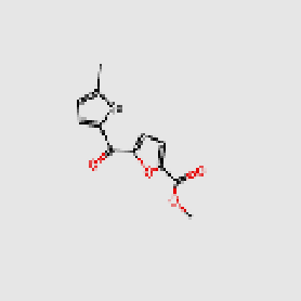 COC(=O)c1ccc(C(=O)c2ccc(C)[se]2)o1